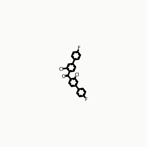 O=C(c1ccc(-c2ccc(F)cc2)cc1Cl)c1ccc(-c2ccc(F)cc2)cc1Cl